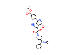 [C-]#[N+]C(=C1CCN(C(=O)C(=O)c2c[nH]c3c(-c4ccc(C(=O)OC(C)C)cc4)ncc(OC)c23)CC1)c1ccccc1